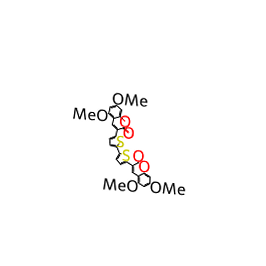 COc1cc(OC)c2cc(-c3ccc(-c4ccc(-c5cc6c(OC)cc(OC)cc6oc5=O)s4)s3)c(=O)oc2c1